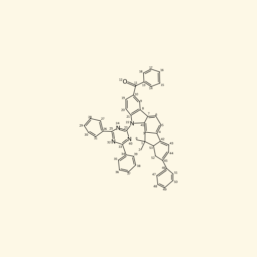 CC1(C)c2c(ccc3c4cc(C(=O)c5ccccc5)ccc4n(-c4nc(-c5ccccc5)nc(-c5ccccc5)n4)c23)C2=CC=C(c3ccccc3)CC21